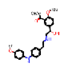 CCCCOc1ccc([C@@H](O)CNCCc2ccc(Nc3ccc(OCC)cc3)cc2)cc1C(=O)OC